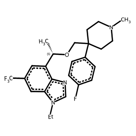 CCn1cnc2c([C@H](C)OCC3(c4ccc(F)cc4)CCN(C)CC3)cc(C(F)(F)F)cc21